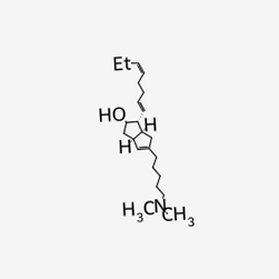 CC/C=C\CC/C=C/[C@@H]1[C@H]2CC(CCCCCN(C)C)=C[C@H]2C[C@H]1O